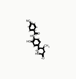 CC1CC(=O)NN=C1c1ccc(NC(=O)c2ccc(C#N)cc2)c(O)c1